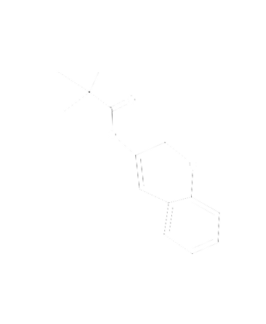 CC(C)(C)C(=O)OC1=Cc2ccccc2OC1